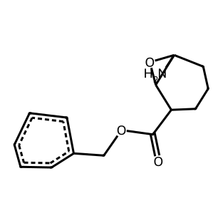 NC12CCCC(C(=O)OCc3ccccc3)C1O2